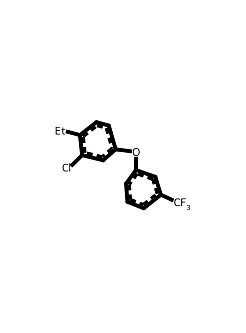 CCc1ccc(Oc2cccc(C(F)(F)F)c2)cc1Cl